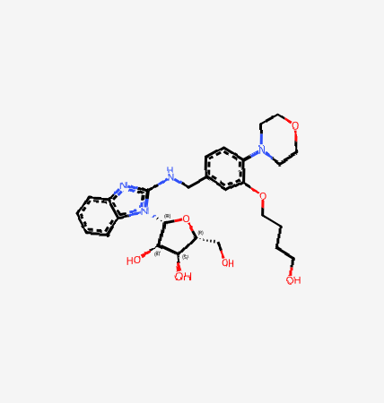 OCCCCOc1cc(CNc2nc3ccccc3n2[C@@H]2O[C@H](CO)[C@@H](O)[C@H]2O)ccc1N1CCOCC1